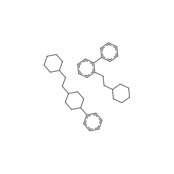 c1ccc(-c2ccccc2CCC2CCCCC2)cc1.c1ccc(C2CCC(CCC3CCCCC3)CC2)cc1